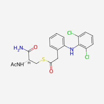 CC(=O)N[C@@H](CSC(=O)Cc1ccccc1Nc1c(Cl)cccc1Cl)C(N)=O